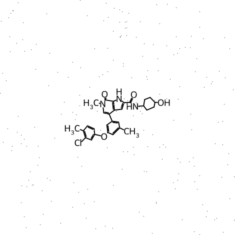 Cc1cc(Oc2ccc(C)c(Cl)c2)cc(-c2cn(C)c(=O)c3[nH]c(C(=O)NC4CCC(O)CC4)cc23)c1